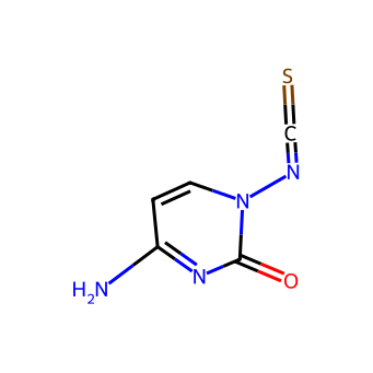 Nc1ccn(N=C=S)c(=O)n1